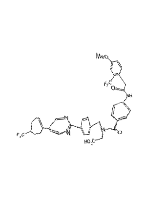 COc1ccc(CC(=O)Nc2ccc(C(=O)N(CC(=O)O)Cc3ccc(-c4ncc(C5=CCC(C(F)(F)F)CC5)cn4)cc3)cc2)c(C(F)(F)F)c1